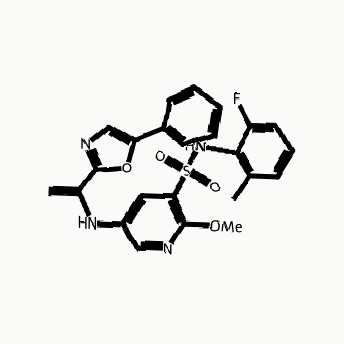 C=C(Nc1cnc(OC)c(S(=O)(=O)Nc2c(C)cccc2F)c1)c1ncc(-c2ccccc2)o1